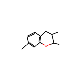 Cc1ccc2c(c1)OC(C)C(C)C2